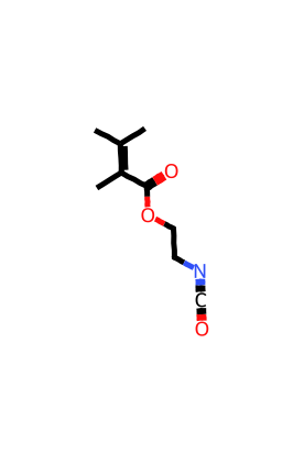 CC(C)=C(C)C(=O)OCCN=C=O